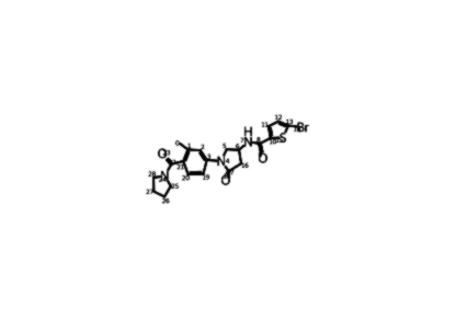 Cc1cc(N2CC(NC(=O)c3ccc(Br)s3)CC2=O)ccc1C(=O)N1CCCC1